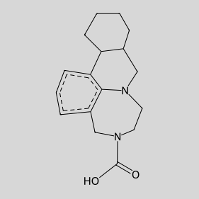 O=C(O)N1CCN2CC3CCCCC3c3cccc(c32)C1